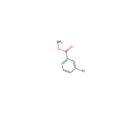 CCc1cccc(C(=O)O[SiH3])c1